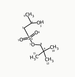 CC(O)CS(=O)(=O)OCC(C)(C)C